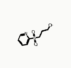 [O]CCCS(=O)(=O)c1ccccn1